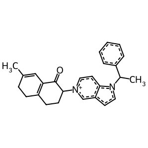 CC1=CC2=C(CC1)CCC([n+]1ccc3c(ccn3C(C)c3ccccc3)c1)C2=O